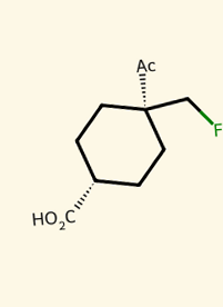 CC(=O)[C@]1(CF)CC[C@H](C(=O)O)CC1